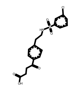 O=C(O)CCC(=O)c1ccc(CCNS(=O)(=O)c2cccc(Cl)c2)cc1